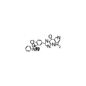 Nc1ncc(-c2ccc(Cl)c(S(=O)(=O)Nc3ccccc3)c2)nc1C(=O)c1cccnc1